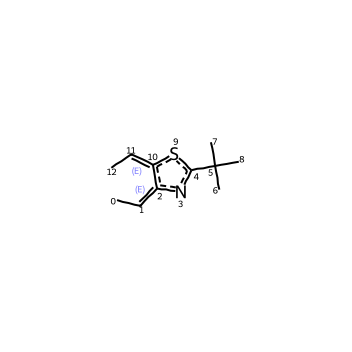 C/C=c1/nc(C(C)(C)C)s/c1=C/C